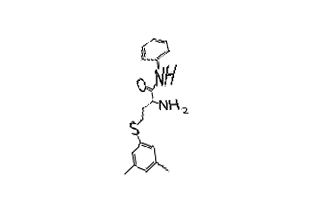 Cc1cc(C)cc(SCCC(N)C(=O)Nc2ccccc2)c1